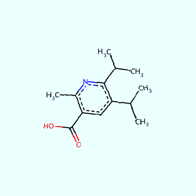 Cc1nc(C(C)C)c(C(C)C)cc1C(=O)O